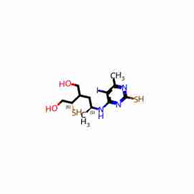 Cc1nc(S)nc(N[C@@H](C)CC(CO)[C@H](S)CO)c1I